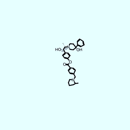 CC1CCCCN1Cc1ccc(C(=O)Oc2ccc([C@H](O)[C@H](C)N3CCC(O)(c4ccccc4)CC3)cc2)cc1